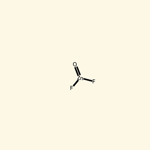 [O]=[Zn]([F])[F]